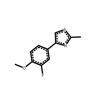 COc1ccc(-c2csc(C)n2)cc1F